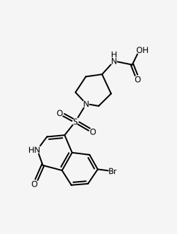 O=C(O)NC1CCN(S(=O)(=O)c2c[nH]c(=O)c3ccc(Br)cc23)CC1